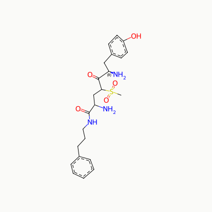 CS(=O)(=O)C(CC(N)C(=O)NCCCc1ccccc1)C(=O)[C@H](N)Cc1ccc(O)cc1